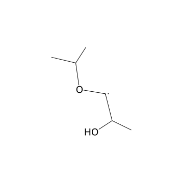 CC(O)[CH]OC(C)C